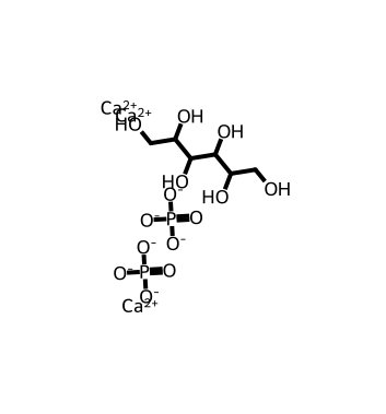 O=P([O-])([O-])[O-].O=P([O-])([O-])[O-].OCC(O)C(O)C(O)C(O)CO.[Ca+2].[Ca+2].[Ca+2]